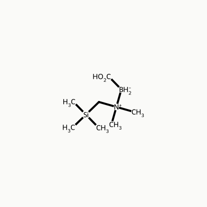 C[N+](C)([BH2-]C(=O)O)C[Si](C)(C)C